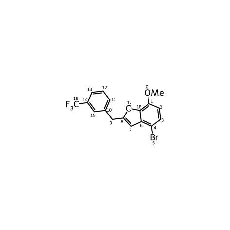 COc1ccc(Br)c2cc(Cc3cccc(C(F)(F)F)c3)oc12